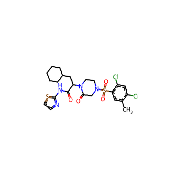 Cc1cc(S(=O)(=O)N2CCN(C(CC3CCCCC3)C(=O)Nc3nccs3)C(=O)C2)c(Cl)cc1Cl